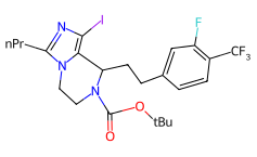 CCCc1nc(I)c2n1CCN(C(=O)OC(C)(C)C)C2CCc1ccc(C(F)(F)F)c(F)c1